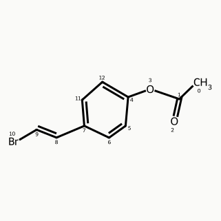 CC(=O)Oc1ccc(C=CBr)cc1